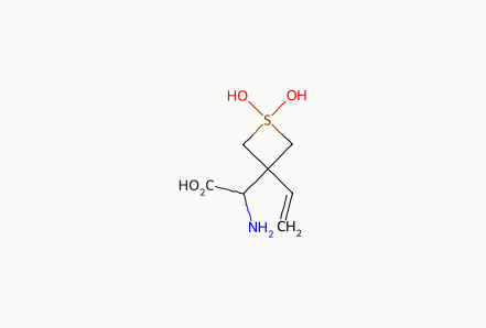 C=CC1(C(N)C(=O)O)CS(O)(O)C1